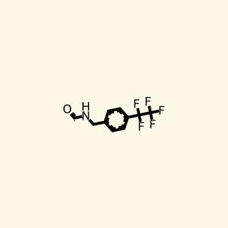 O=[C]NCc1ccc(C(F)(F)C(F)(F)F)cc1